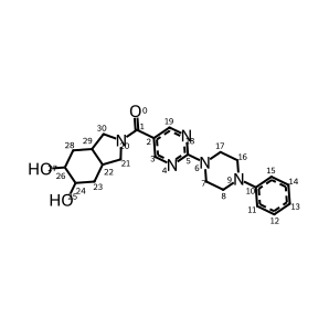 O=C(c1cnc(N2CCN(c3ccccc3)CC2)nc1)N1CC2CC(O)C(O)CC2C1